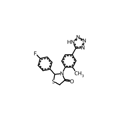 Cc1cc(-c2nnn[nH]2)ccc1N1C(=O)CSC1c1ccc(F)cc1